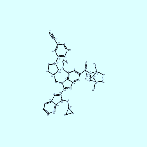 COc1cc(C(=O)N2C[C@H]3CC[C@@H]2[C@@H]3N)cc2nc(-c3cc4cccnc4n3CC3CC3)n(C[C@H]3CCN(c4cncc(C#N)n4)C3)c12